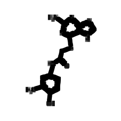 Cc1cc(NC(=O)CSc2nc(N)nc3nc[nH]c23)ccc1O